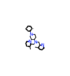 Cc1cccnc1CN(Cc1ncccc1C)C1CCN(c2[c]cccc2)CC1